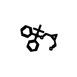 CC(C)(C)[Si](OCC1C[C@H]1C=O)(c1ccccc1)c1ccccc1